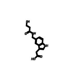 O=C(O)Cc1c[nH]c2ccc(CNC(=O)CCS)cc12